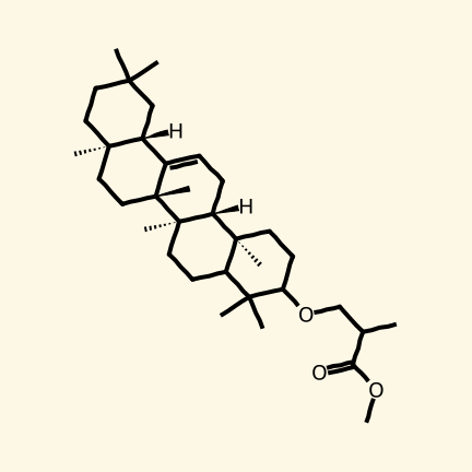 COC(=O)C(C)COC1CC[C@@]2(C)C(CC[C@]3(C)[C@@H]2CC=C2[C@H]4CC(C)(C)CC[C@]4(C)CC[C@]23C)C1(C)C